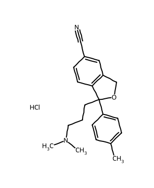 Cc1ccc(C2(CCCN(C)C)OCc3cc(C#N)ccc32)cc1.Cl